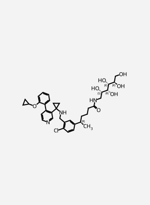 C[C@H](CCCC(=O)NC[C@H](O)[C@@H](O)[C@H](O)[C@H](O)CO)c1ccc(Cl)c(CNC2(c3cnccc3-c3ccccc3OC3CC3)CC2)c1